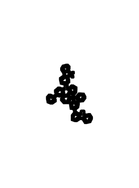 CC1(C)c2ccccc2-c2ccc(N(c3ccc(-c4ccccc4)cc3)c3cccc4c3-c3ccccc3C4(c3ccccc3)c3ccc(-c4cccc5c4oc4ccccc45)cc3)cc21